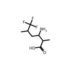 CC(C(=O)O)C(N)CC(C)C(F)(F)F